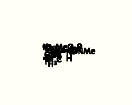 C=C(F)C(=O)Nc1cc(NC2CCN(C)CC2)c2nc(C#CCNc3ccc(C(=O)NC)cc3OC)c(CC(F)(F)F)n2c1